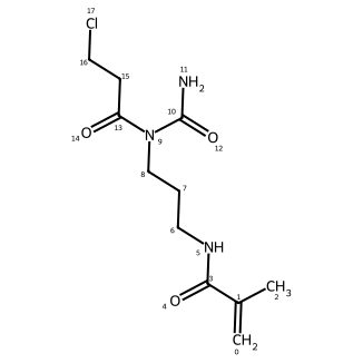 C=C(C)C(=O)NCCCN(C(N)=O)C(=O)CCCl